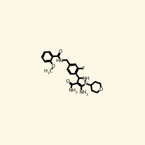 COc1ccccc1C(=O)NCc1ccc(C2NN(C3CCOCC3)C(N)=C2C(N)=O)c(F)c1